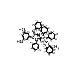 CCN=P(N=P(/N=[PH](/Oc1ccccc1)Oc1cc(O)cc(O)c1)(Oc1ccccc1)Oc1ccccc1)(Oc1ccccc1)Oc1ccccc1